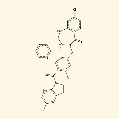 Cc1cnc2c(c1)CCN2C(=O)c1ccc(CN2C(=O)c3ccc(Cl)cc3NC[C@H]2Cc2ccccn2)cc1F